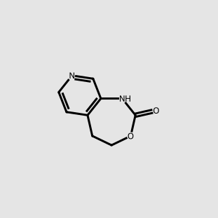 O=C1Nc2cnccc2CCO1